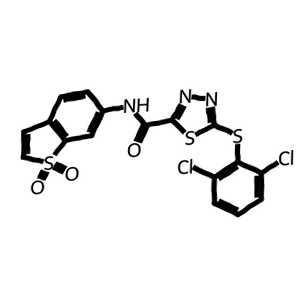 O=C(Nc1ccc2c(c1)S(=O)(=O)C=C2)c1nnc(Sc2c(Cl)cccc2Cl)s1